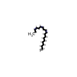 CC/C=C\C/C=C\C/C=C\CCCCCCCCF